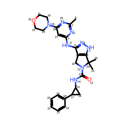 Cc1nc(Nc2n[nH]c3c2CN(C(=O)NC2CC2c2ccccc2)C3(C)C)cc(N2CCOCC2)n1